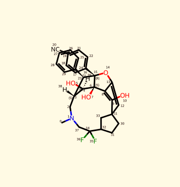 CN1C[C@H]2[C@@H](O)[C@@]3(O)C4=C(O)C5(C=C4O[C@@]3(c3ccc(C#N)cc3)[C@@H]2c2ccccc2)CCC(C5)C(F)(F)C1